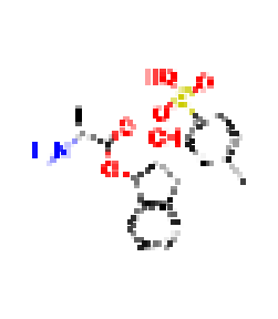 C[C@H](N)C(=O)OC1c2ccccc2CC1O.Cc1ccc(S(=O)(=O)O)cc1